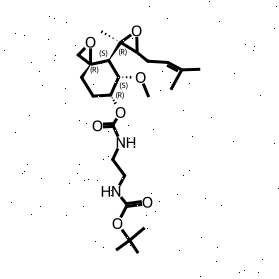 CO[C@@H]1[C@H](OC(=O)NCCNC(=O)OC(C)(C)C)CC[C@]2(CO2)[C@H]1[C@@]1(C)OC1CC=C(C)C